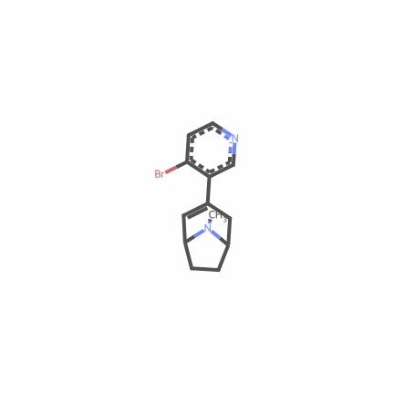 CN1C2C=C(c3cnccc3Br)CC1CC2